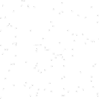 CCCCC(O)COCC(CC)CCCC